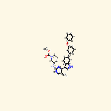 CC(C)(C)OC(=O)N1CCC[C@H](Nc2ncc(C(F)(F)F)c(-c3c[nH]c4cc(-c5cccc(Oc6ccccc6)c5)ccc34)n2)C1